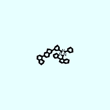 c1ccc(-c2nc(-c3cccc(-c4ccc5cc(-c6cccc7ccccc67)ccc5c4)c3)nc(-c3c(-c4ccccc4)ccc4ccccc34)n2)cc1